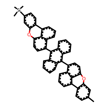 Cc1ccc2c(c1)Oc1ccc(-c3c4ccccc4c(-c4ccc5c6c(cccc46)-c4ccc([Si](C)(C)C)cc4O5)c4ccccc34)c3cccc-2c13